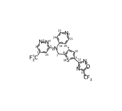 FC(F)(F)c1cnnc(N(Cc2ccc(-c3noc(C(F)(F)F)n3)s2)c2ccncc2)c1